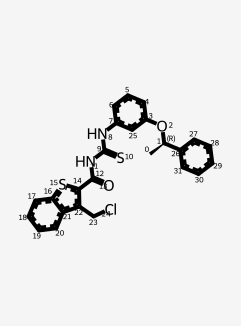 C[C@@H](Oc1cccc(NC(=S)NC(=O)c2sc3ccccc3c2CCl)c1)c1ccccc1